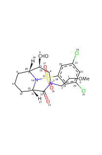 COCCN1C[C@H](C=O)[C@H]2CCC[C@@H](C1=O)N2S(=O)(=O)c1cc(Cl)cc(Cl)c1